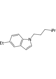 CCc1ccc2c(ccn2CCCC(C)C)c1